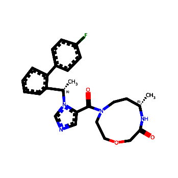 C[C@H]1CCN(C(=O)c2cncn2[C@@H](C)c2ccccc2-c2ccc(F)cc2)CCOCC(=O)N1